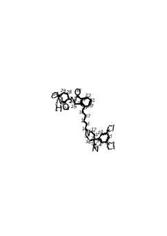 N#CC1(c2cc(Cl)cc(Cl)c2)CCN(CCCCCc2cccc3c2CN(C2CCC(=O)NC2=O)C3=O)CC1